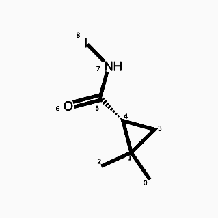 CC1(C)C[C@H]1C(=O)NI